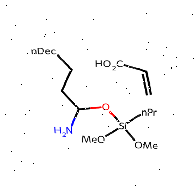 C=CC(=O)O.CCCCCCCCCCCCC(N)O[Si](CCC)(OC)OC